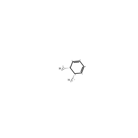 C[C@@H]1C=CC=C[C@@H]1C